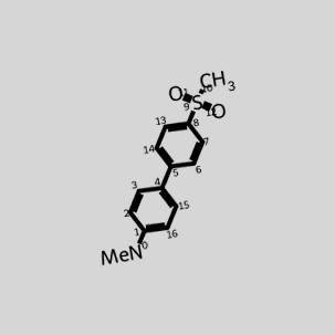 CNc1ccc(-c2ccc(S(C)(=O)=O)cc2)cc1